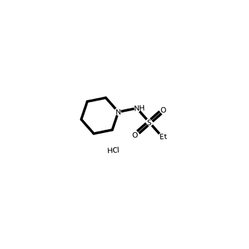 CCS(=O)(=O)NN1CCCCC1.Cl